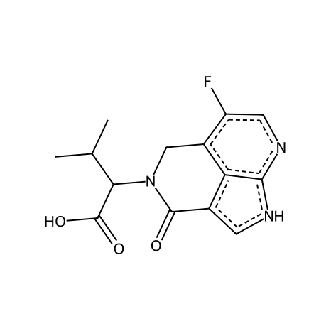 CC(C)C(C(=O)O)N1Cc2c(F)cnc3[nH]cc(c23)C1=O